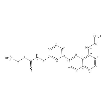 O=C(O)CCC(=O)NCc1cccc(-c2ccc3ncnc(NCC(=O)O)c3c2)c1